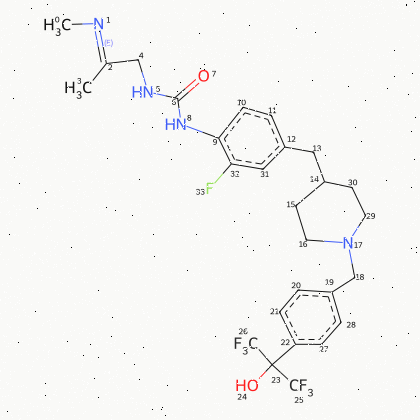 C/N=C(\C)CNC(=O)Nc1ccc(CC2CCN(Cc3ccc(C(O)(C(F)(F)F)C(F)(F)F)cc3)CC2)cc1F